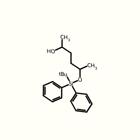 CC(O)CCC(C)O[Si](c1ccccc1)(c1ccccc1)C(C)(C)C